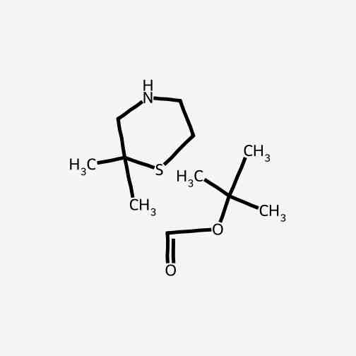 CC(C)(C)OC=O.CC1(C)CNCCS1